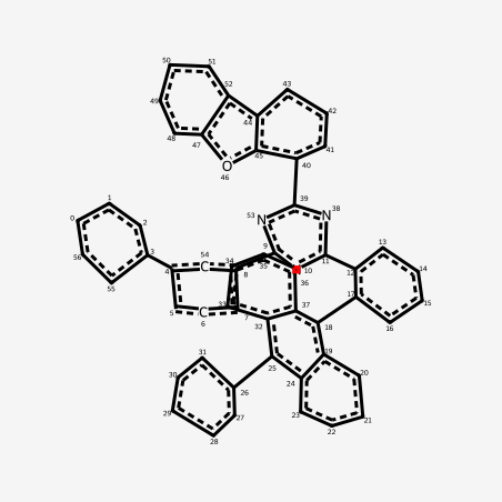 c1ccc(-c2cccc(-c3nc(-c4ccccc4-c4c5ccccc5c(-c5ccccc5)c5ccccc45)nc(-c4cccc5c4oc4ccccc45)n3)c2)cc1